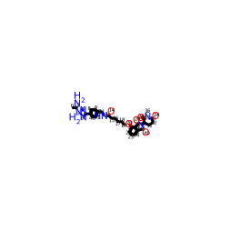 C/C(N)=N/N=C(\N)c1ccc(CNC(=O)CCCCCOc2cccc3c2C(=O)N(C2CCC(=O)N(C)C2=O)C3=O)cc1